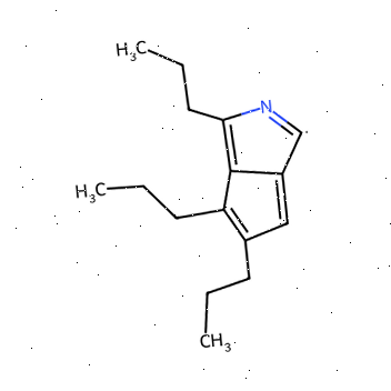 CCCC1=C(CCC)C2=C(CCC)N=[C]C2=C1